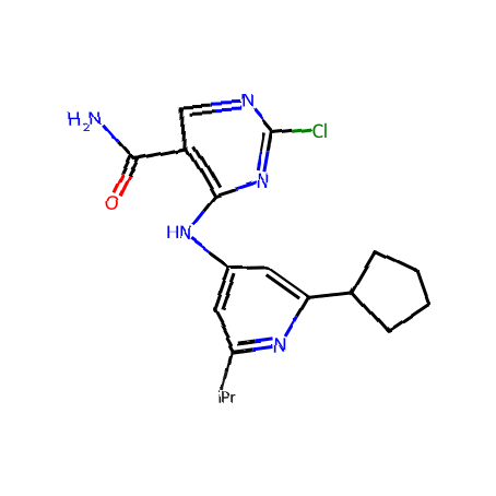 CC(C)c1cc(Nc2nc(Cl)ncc2C(N)=O)cc(C2CCCC2)n1